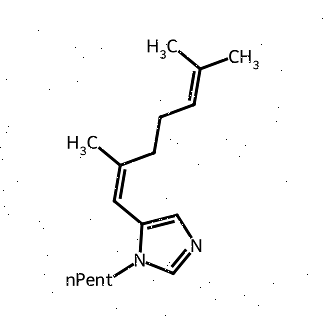 CCCCCn1cncc1C=C(C)CCC=C(C)C